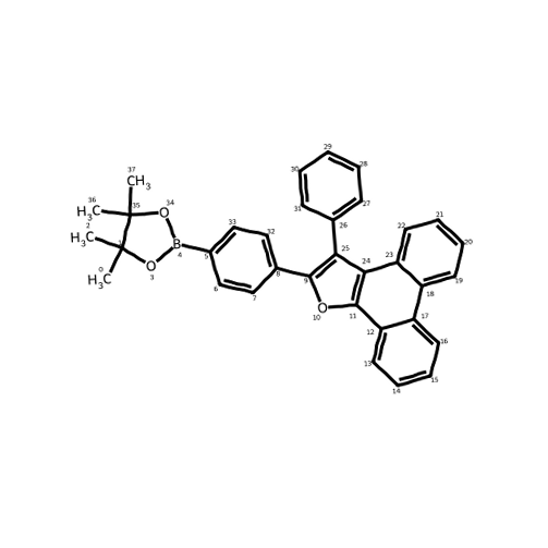 CC1(C)OB(c2ccc(-c3oc4c5ccccc5c5ccccc5c4c3-c3ccccc3)cc2)OC1(C)C